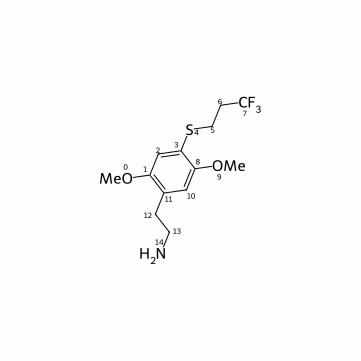 COc1cc(SCCC(F)(F)F)c(OC)cc1CCN